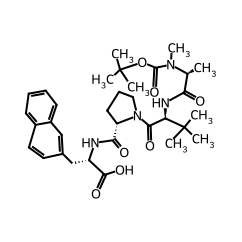 C[C@@H](C(=O)N[C@H](C(=O)N1CCC[C@H]1C(=O)N[C@@H](Cc1ccc2ccccc2c1)C(=O)O)C(C)(C)C)N(C)C(=O)OC(C)(C)C